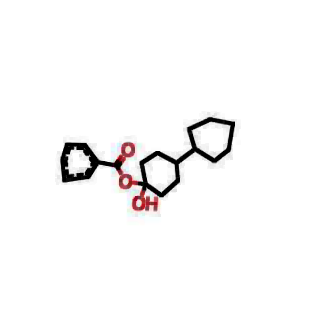 O=C(OC1(O)CCC(C2CCCCC2)CC1)c1ccccc1